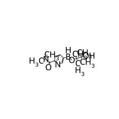 CN(C)C(=O)c1ccc(BOC(C)(C)C(C)(C)O)cn1